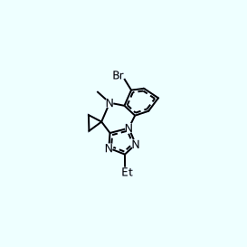 CCc1nc2n(n1)-c1cccc(Br)c1N(C)C21CC1